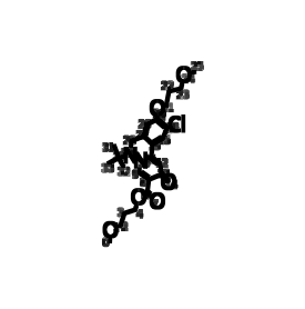 COCCCOC(=O)c1cn2c(cc1=O)-c1cc(Cl)c(OCCCOC)cc1CN2C(C)(C)C